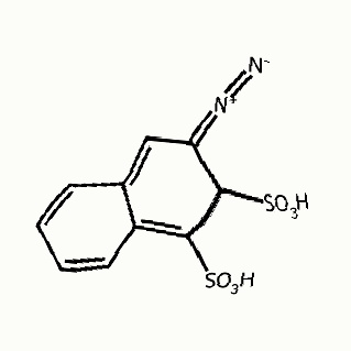 [N-]=[N+]=C1C=c2ccccc2=C(S(=O)(=O)O)C1S(=O)(=O)O